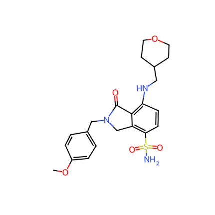 COc1ccc(CN2Cc3c(S(N)(=O)=O)ccc(NCC4CCOCC4)c3C2=O)cc1